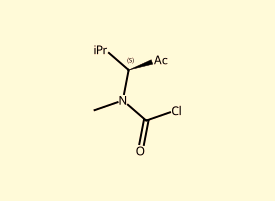 CC(=O)[C@H](C(C)C)N(C)C(=O)Cl